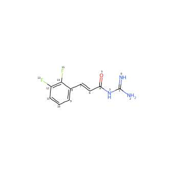 N=C(N)NC(=O)C=Cc1cccc(F)c1F